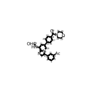 CC(=O)c1cccc(-c2cnc3c(NC=O)cc(-c4ccc(C(=O)N5CCOCC5)cc4)cn23)c1